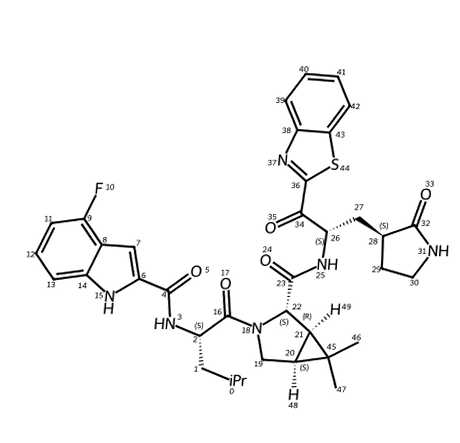 CC(C)C[C@H](NC(=O)c1cc2c(F)cccc2[nH]1)C(=O)N1C[C@H]2[C@@H]([C@H]1C(=O)N[C@@H](C[C@@H]1CCNC1=O)C(=O)c1nc3ccccc3s1)C2(C)C